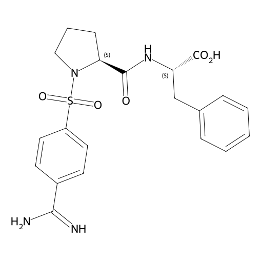 N=C(N)c1ccc(S(=O)(=O)N2CCC[C@H]2C(=O)N[C@@H](Cc2ccccc2)C(=O)O)cc1